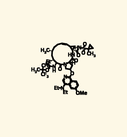 CC[C@@H]1C[C@H](C)CC/C=C\C2C[C@@]2(C(=O)NS(=O)(=O)C2(C)CC2)NC(=O)[C@@H]2C[C@@H](Oc3ncc(N(CC)CC)c4cc(OC)ccc34)CN2C(=O)[C@H]1NC(=O)OC(C)(C)C(F)(F)F